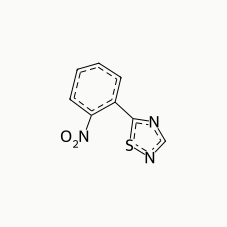 O=[N+]([O-])c1ccccc1-c1ncns1